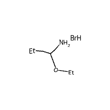 Br.CCOC(N)CC